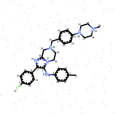 Cc1ccc(Nc2c(-c3ccc(F)cc3)nc3n2CCN(Cc2ccc(N4CCN(C)CC4)cc2)C3)cc1